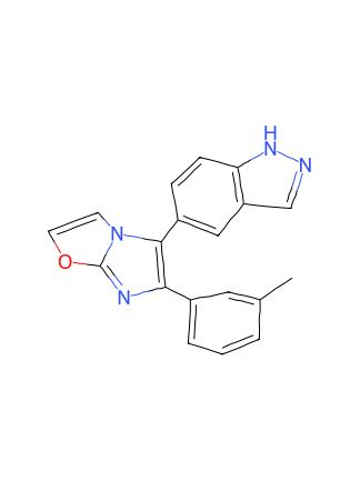 Cc1cccc(-c2nc3occn3c2-c2ccc3[nH]ncc3c2)c1